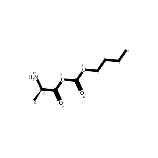 CCCCOC(=O)OC(=O)[C@@H](C)N